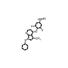 CCNc1cc(F)c(Oc2ccnc3c2c(C)cn3Sc2ccccc2)c(F)c1